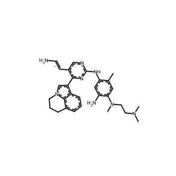 Cc1cc(N(C)CCN(C)C)c(N)cc1Nc1ncc(/C=C/N)c(-c2cn3c4c(cccc24)CCC3)n1